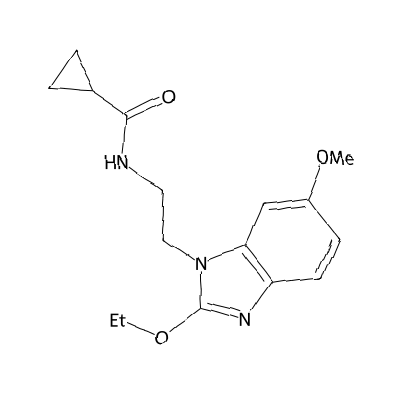 CCOc1nc2ccc(OC)cc2n1CCNC(=O)C1CC1